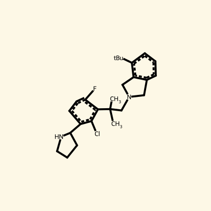 CC(C)(C)c1cccc2c1CN(CC(C)(C)c1c(F)ccc(C3CCCN3)c1Cl)C2